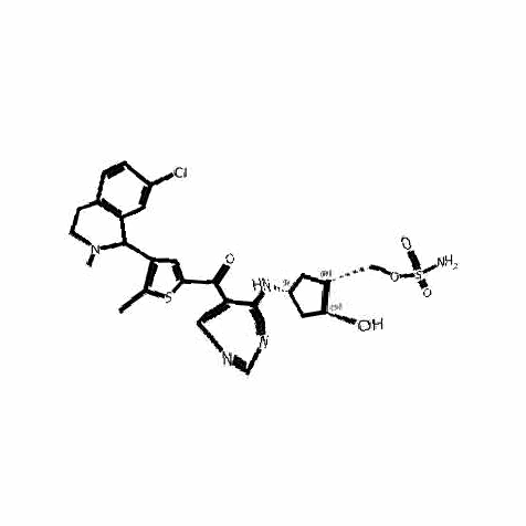 Cc1sc(C(=O)c2cncnc2N[C@@H]2C[C@H](COS(N)(=O)=O)[C@@H](O)C2)cc1C1c2cc(Cl)ccc2CCN1C